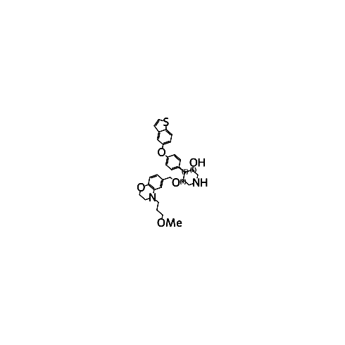 COCCCN1CCOc2ccc(CO[C@H]3CNC[C@@H](O)[C@@H]3c3ccc(Oc4ccc5sccc5c4)cc3)cc21